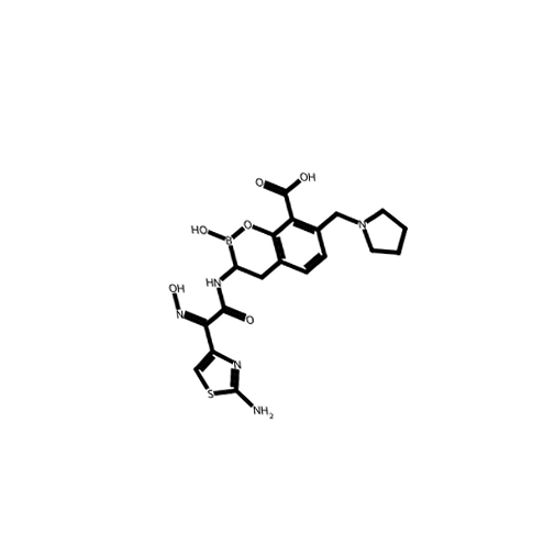 Nc1nc(C(=NO)C(=O)NC2Cc3ccc(CN4CCCC4)c(C(=O)O)c3OB2O)cs1